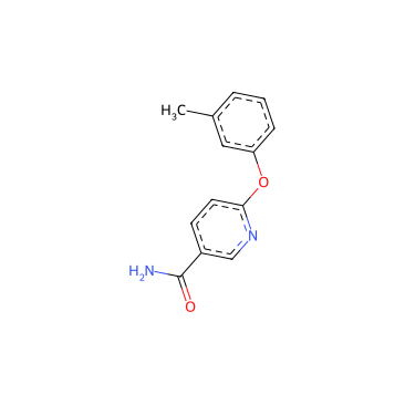 Cc1cccc(Oc2ccc(C(N)=O)cn2)c1